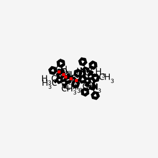 Cc1cc(C2=N[C@@H](c3ccccc3)[C@H](c3ccccc3)O2)c2c(c1)C(C)(C)C[C@]21CC(C)(C)c2cc(CCc3cc(C4=N[C@@H](c5ccccc5)[C@H](c5ccccc5)O4)c4c(c3)C(C)(C)C[C@@]43CC(C)(C)c4cc(C)cc(C5=N[C@@H](c6ccccc6)[C@H](c6ccccc6)O5)c43)cc(C3=N[C@@H](c4ccccc4)[C@H](c4ccccc4)O3)c21